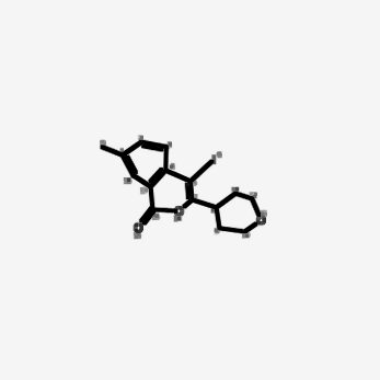 Cc1ccc2c(I)c(C3CCOCC3)oc(=O)c2c1